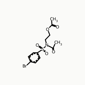 CC(=O)OCCN(C(C)=O)S(=O)(=O)c1ccc(Br)cc1